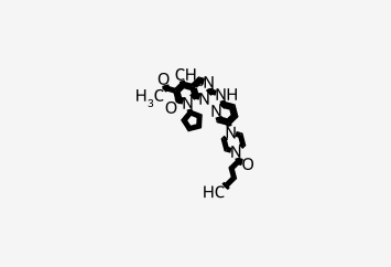 C#CCCC(=O)N1CCN(c2ccc(Nc3ncc4c(C)c(C(C)=O)c(=O)n(C5CCCC5)c4n3)nc2)CC1